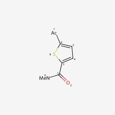 CNC(=O)c1ccc(C(C)=O)s1